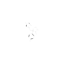 CC1NCOC1(Cn1cncn1)c1ccc(Cl)cc1